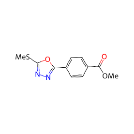 COC(=O)c1ccc(-c2nnc(SC)o2)cc1